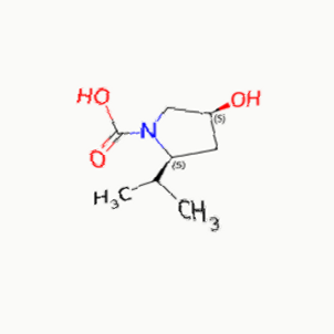 CC(C)[C@@H]1C[C@H](O)CN1C(=O)O